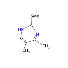 CSC1N=C(C)C(C)=CN1